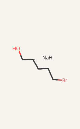 OC[CH]CCCBr.[NaH]